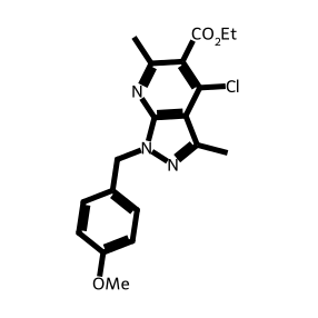 CCOC(=O)c1c(C)nc2c(c(C)nn2Cc2ccc(OC)cc2)c1Cl